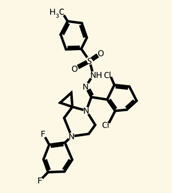 Cc1ccc(S(=O)(=O)N/N=C(\c2c(Cl)cccc2Cl)N2CCN(c3ccc(F)cc3F)CC23CC3)cc1